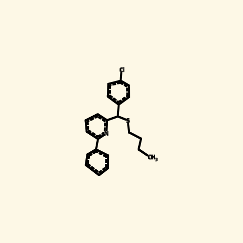 CCCCSC(c1ccc(Cl)cc1)c1cccc(-c2ccccc2)n1